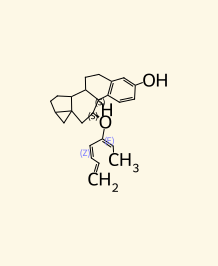 C=C/C=C\C(=C/C)O[C@H]1CC23CC2CCC3C2CCc3cc(O)ccc3[C@H]21